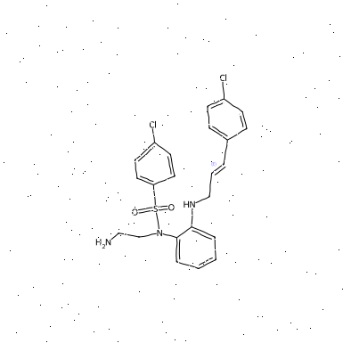 NCCN(c1ccccc1NC/C=C/c1ccc(Cl)cc1)S(=O)(=O)c1ccc(Cl)cc1